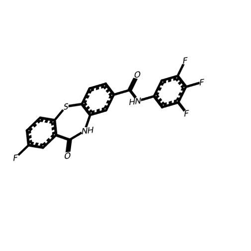 O=C(Nc1cc(F)c(F)c(F)c1)c1ccc2c(c1)NC(=O)c1cc(F)ccc1S2